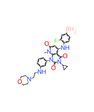 Bc1ccc(Nc2cc(=O)n(C)c3c2c(=O)n(C2CC2)c(=O)n3-c2cccc(NCCN3CCOCC3)c2)c(F)c1